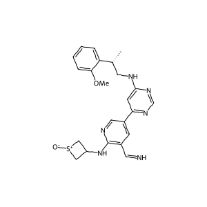 COc1ccccc1[C@H](C)CNc1cc(-c2cnc(NC3C[S+]([O-])C3)c(C=N)c2)ncn1